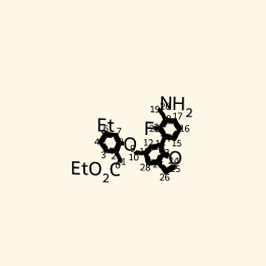 CCOC(=O)Cc1ccc(CC)cc1OCc1cc(-c2cccc(CN)c2F)c2occc2c1